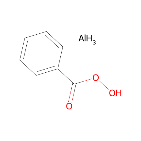 O=C(OO)c1ccccc1.[AlH3]